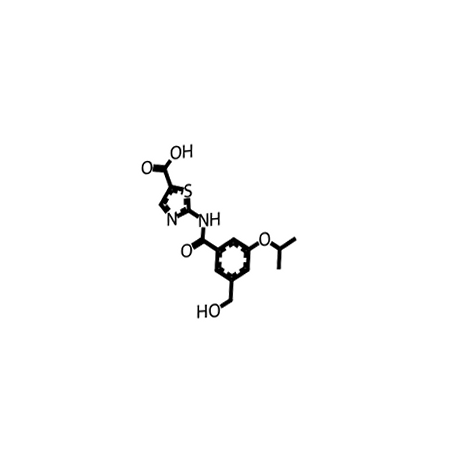 CC(C)Oc1cc(CO)cc(C(=O)Nc2ncc(C(=O)O)s2)c1